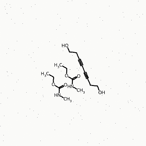 CCOC(=O)NC.CCOC(=O)NC.OCCC#CC#CCCO